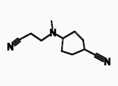 CN(CCC#N)C1CCC(C#N)CC1